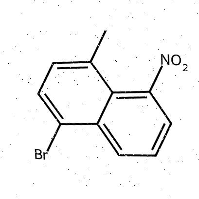 Cc1ccc(Br)c2cccc([N+](=O)[O-])c12